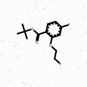 CC(C)(C)OC(=O)c1ccc(F)cc1OCCF